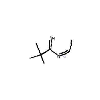 C/C=N\C(=N)C(C)(C)C